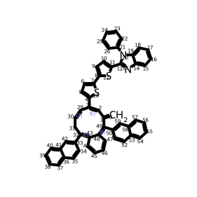 C=C1/C=C(c2ccc(-c3ccc(-c4nc5ccccc5n4-c4ccccc4)s3)s2)\C=C/C/C(c2ccc3ccccc3c2)=c2/cccc/c2=C/1c1ccc2ccccc2c1